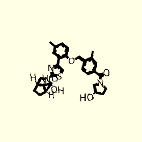 Cc1ccc(OCc2ccc(C(=O)N3CC[C@H](O)C3)cc2C)c(-c2csc(N3C[C@H]4CC[C@@H](C3)[C@H]4C(=O)O)n2)c1